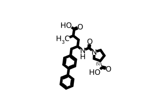 CC(CC(Cc1ccc(-c2ccccc2)cc1)NC(=O)N1CC[C@H](C(=O)O)C1)C(=O)O